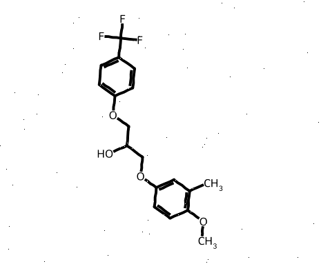 COc1ccc(OCC(O)COc2ccc(C(F)(F)F)cc2)cc1C